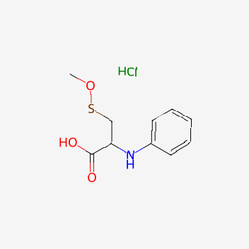 COSCC(Nc1ccccc1)C(=O)O.Cl